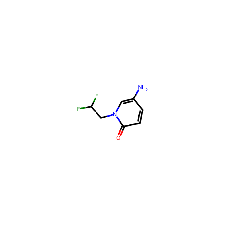 Nc1ccc(=O)n(CC(F)F)c1